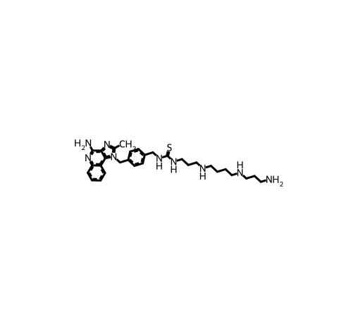 Cc1nc2c(N)nc3ccccc3c2n1Cc1ccc(CNC(=S)NCCCNCCCCNCCCN)cc1